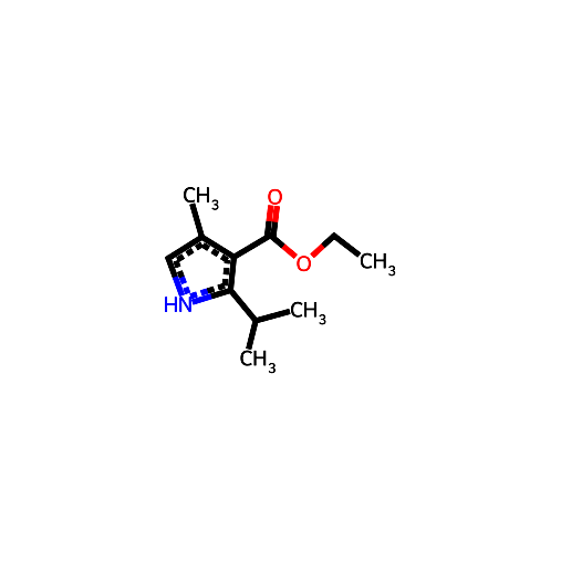 CCOC(=O)c1c(C)c[nH]c1C(C)C